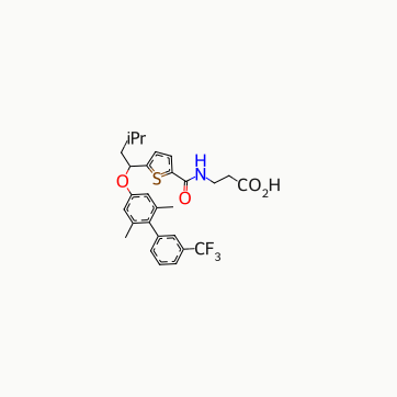 Cc1cc(OC(CC(C)C)c2ccc(C(=O)NCCC(=O)O)s2)cc(C)c1-c1cccc(C(F)(F)F)c1